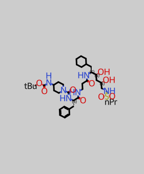 CCCS(=O)(=O)NC[C@@H](O)C[C@H](O)[C@H](CC1CCCCC1)NC(=O)CCNC(=O)[C@H](Cc1ccccc1)NC(=O)N1CCC(NC(=O)OC(C)(C)C)CC1